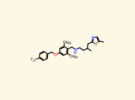 COc1cc(OCc2ccc(C(F)(F)F)cc2)cc(OC)c1CNCCC(C)Cc1ncc(C)s1